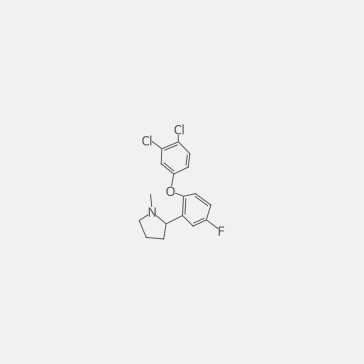 CN1CCCC1c1cc(F)ccc1Oc1ccc(Cl)c(Cl)c1